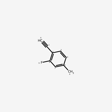 C#Cc1ccc(C)cc1F